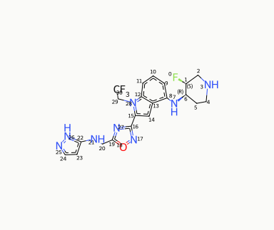 F[C@H]1CNCC[C@H]1Nc1cccc2c1cc(-c1noc(CNc3ccn[nH]3)n1)n2CC(F)(F)F